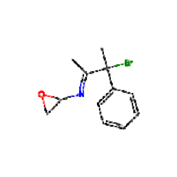 CC(=NC1CO1)C(C)(Br)c1ccccc1